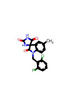 Cc1ccc2c(c1)C1(NC(=O)NC1=O)C(=O)N2Cc1c(F)cccc1Cl